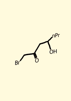 CCCC(O)CC(=O)CBr